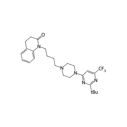 CC(C)(C)c1nc(N2CCN(CCCCN3C(=O)CCc4ccccc43)CC2)cc(C(F)(F)F)n1